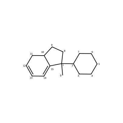 CC1(C2CCCCC2)CCC2CC=CC=C21